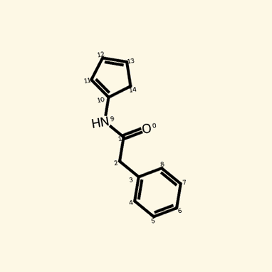 O=C(Cc1ccccc1)NC1=CC=CC1